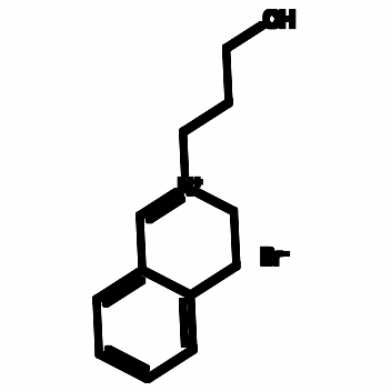 OCCC[N+]1=Cc2ccccc2CC1.[Br-]